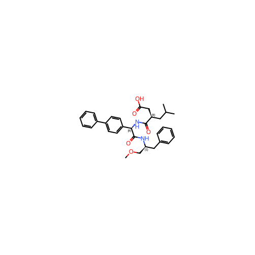 COC[C@H](Cc1ccccc1)NC(=O)[C@H](NC(=O)[C@@H](CC(=O)O)CC(C)C)c1ccc(-c2ccccc2)cc1